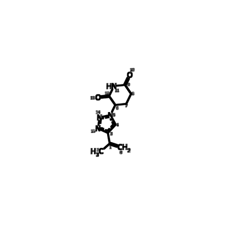 C=C(C)c1cn(C2CCC(=O)NC2=O)nn1